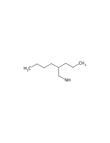 CCCCC(C[NH])CCC